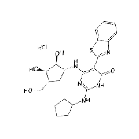 Cl.O=c1[nH]c(NC2CCCC2)nc(N[C@@H]2C[C@H](CO)[C@@H](O)[C@H]2O)c1-c1nc2ccccc2s1